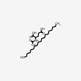 CC(=O)NC(CCC(=O)O)C(=O)O.CCCCCCCCCCCCCCCCCCO